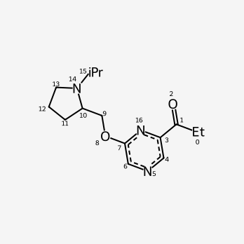 CCC(=O)c1cncc(OCC2CCCN2C(C)C)n1